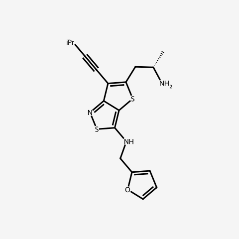 CC(C)C#Cc1c(C[C@H](C)N)sc2c(NCc3ccco3)snc12